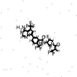 CC(C(=O)N1C[C@H](F)[C@H](NC(=O)c2cc(-c3cc(C(F)(F)F)c4c(N)ncnn34)ccc2C(F)(F)F)C1)C(F)(F)F